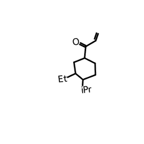 C=CC(=O)C1CCC(C(C)C)C(CC)C1